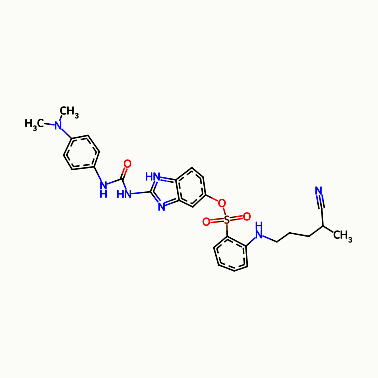 CC(C#N)CCCNc1ccccc1S(=O)(=O)Oc1ccc2[nH]c(NC(=O)Nc3ccc(N(C)C)cc3)nc2c1